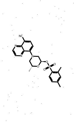 Cc1ccc(S(=O)(=O)O[C@@H]2CN(c3ccc(C#N)c4nccnc34)C[C@@H](C)O2)c(C)c1